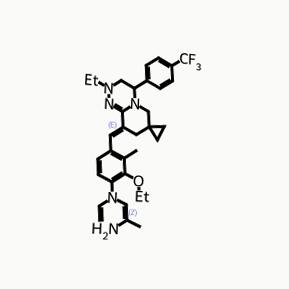 C=CN(/C=C(/C)N)c1ccc(/C=C2\CC3(CC3)CN3C2=NN(CC)CC3c2ccc(C(F)(F)F)cc2)c(C)c1OCC